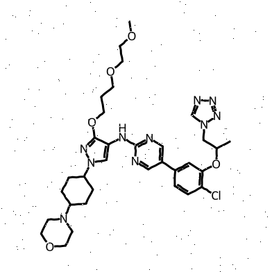 COCCOCCCOc1nn(C2CCC(N3CCOCC3)CC2)cc1Nc1ncc(-c2ccc(Cl)c(OC(C)Cn3cnnn3)c2)cn1